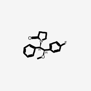 CO[C@H](c1ccc(F)cc1)[C@@H](c1ccccc1)N1CCCC1=O